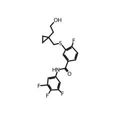 O=C(Nc1cc(F)c(F)c(F)c1)c1ccc(F)c(SCC2(CCO)CC2)c1